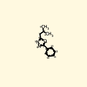 CC(C)Cc1nnc(-c2ccccc2)o1